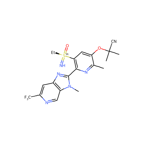 CC[S@@](=N)(=O)c1cc(OC(C)(C)C#N)c(C)nc1-c1nc2cc(C(F)(F)F)ncc2n1C